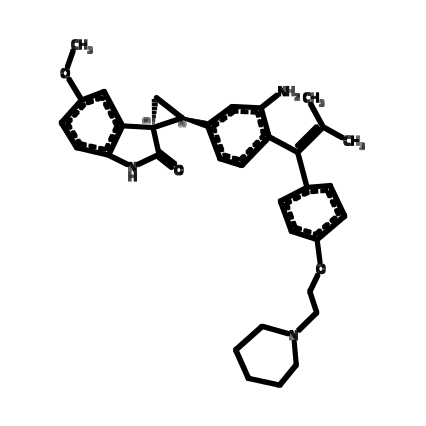 COc1ccc2c(c1)[C@]1(C[C@H]1c1ccc(C(=C(C)C)c3ccc(OCCN4CCCCC4)cc3)c(N)c1)C(=O)N2